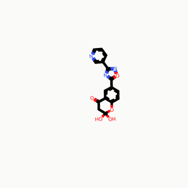 O=C1CC(O)(O)Oc2ccc(-c3nc(-c4cccnc4)no3)cc21